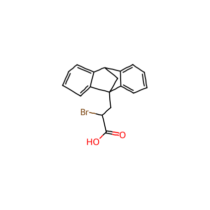 O=C(O)C(Br)CC12CC(c3ccccc31)c1ccccc12